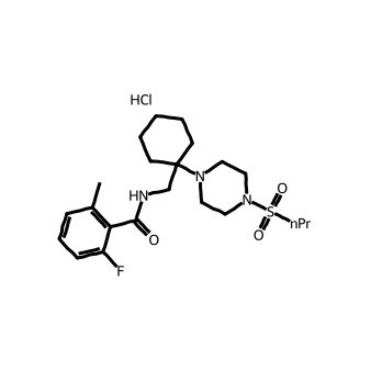 CCCS(=O)(=O)N1CCN(C2(CNC(=O)c3c(C)cccc3F)CCCCC2)CC1.Cl